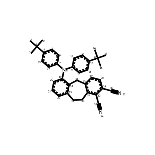 CC(C)(C)c1ccc(N(c2ccc(C(C)(C)C)cc2)c2cccc3c2Cc2ccc(C#N)c(C#N)c2CC3)cc1